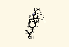 C=C(C)C1(/C=C/C)CC2C[C@H](CC(=O)O)C[C@@H]1N2I